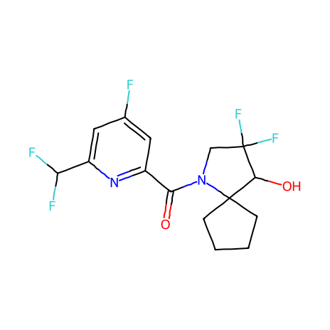 O=C(c1cc(F)cc(C(F)F)n1)N1CC(F)(F)C(O)C12CCCC2